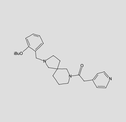 CC(C)COc1ccccc1CN1CCC2(CCCN(C(=O)Cc3ccncc3)C2)C1